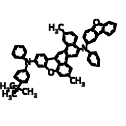 Cc1ccc2c(N(c3ccccc3)c3ccc4oc5ccccc5c4c3)cc3c4cc(C)cc5c4c(cc3c2c1)-c1ccc(N(c2ccccc2)c2ccc([Si](C)(C)C)cc2)cc1O5